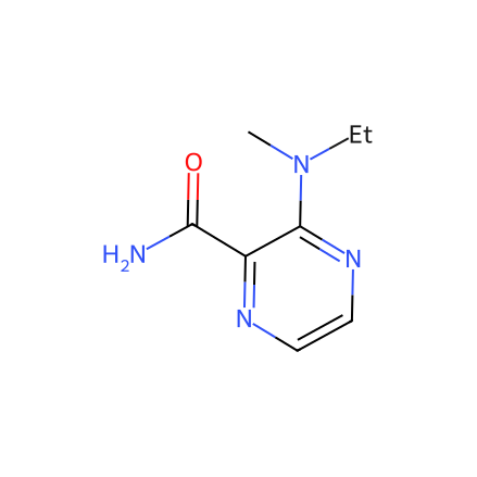 CCN(C)c1nccnc1C(N)=O